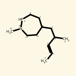 CC=CC(C)CC1CCPN(C)CC1